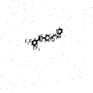 O=C(Cn1cnc2cccnc21)N1CCC(c2nc(-c3cc(C(F)(F)F)cc(C(F)(F)F)c3)cs2)CC1